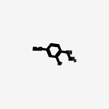 COc1ccc(NN)c(Br)c1